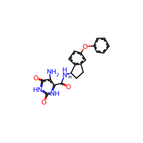 Nc1c(C(=O)N[C@@H]2CCc3cc(Oc4ccccc4)ccc32)[nH]c(=O)[nH]c1=O